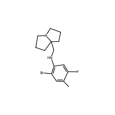 Cc1cc(Br)c(NCC23CCCN2CCC3)cc1F